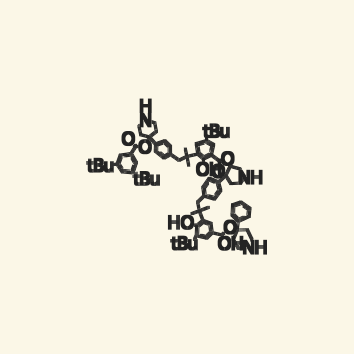 CC(C)(C)c1cc(C(=O)OC2(c3ccc(CC(C)(C)c4cc(C(C)(C)C)cc(C(=O)OC5(c6ccc(CC(C)(C)c7cc(C(O)OC8(c9ccccc9)CCNCC8)cc(C(C)(C)C)c7O)cc6)CCNCC5)c4O)cc3)CCNCC2)cc(C(C)(C)C)c1